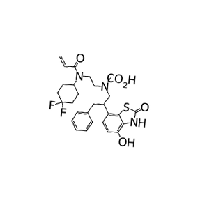 C=CC(=O)N(CCN(CC(Cc1ccccc1)c1ccc(O)c2[nH]c(=O)sc12)C(=O)O)C1CCC(F)(F)CC1